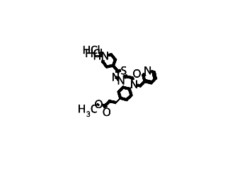 COC(=O)CC[C@H]1CC[C@H](N(Cc2cccnc2)C(=O)c2nnc(C3CCNCC3)s2)CC1.Cl.Cl